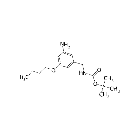 CCCCOc1cc(N)cc(CNC(=O)OC(C)(C)C)c1